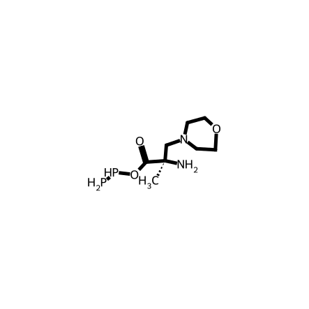 C[C@@](N)(CN1CCOCC1)C(=O)OPP